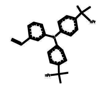 C=Cc1cccc(N(c2ccc(C(C)(C)CCC)cc2)c2ccc(C(C)(C)CCC)cc2)c1